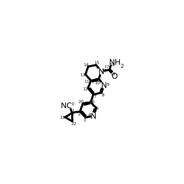 N#CC1(c2cncc(-c3cnc4c(c3)CCCN4C(N)=O)c2)CC1